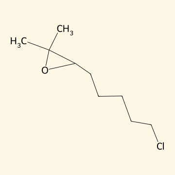 CC1(C)OC1CCCCCCl